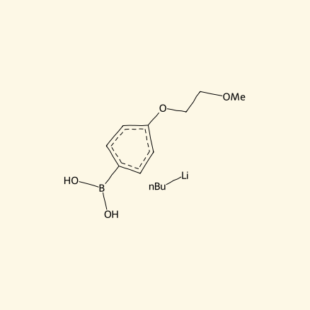 COCCOc1ccc(B(O)O)cc1.[Li][CH2]CCC